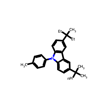 CCCC(C)(C)c1ccc2c(c1)c1cc(C(C)(CC)CC)ccc1n2-c1ccc(C)cc1